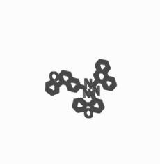 c1ccc2c(c1)cc(-c1nc(-c3ccc4c(ccc5oc6ccccc6c54)c3)nc(-c3cccc4oc5ccccc5c34)n1)c1ccccc12